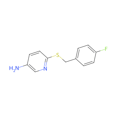 Nc1ccc(SCc2ccc(F)cc2)nc1